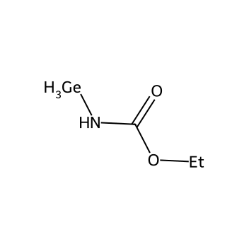 CCOC(=O)[NH][GeH3]